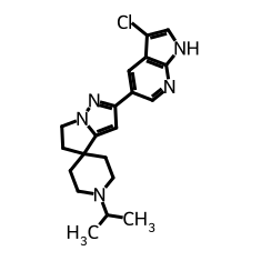 CC(C)N1CCC2(CC1)CCn1nc(-c3cnc4[nH]cc(Cl)c4c3)cc12